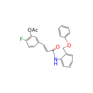 CC(=O)Oc1cc(C=CC(=O)Nc2ccccc2COc2ccccc2)ccc1F